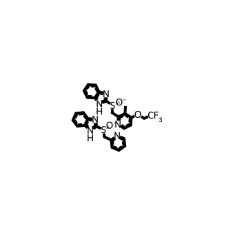 Cc1c(OCC(F)(F)F)ccnc1C[S+]([O-])c1nc2ccccc2[nH]1.[O-][S+](Cc1ccccn1)c1nc2ccccc2[nH]1